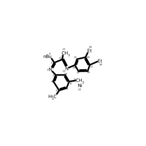 CCCCC(=Nc1cc(C)cc(C)c1)C(C)=Nc1ccc(CC)c(CC)c1.[Ni]